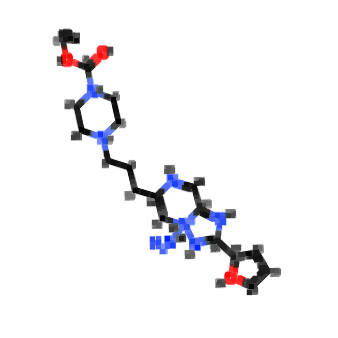 CC(C)(C)OC(=O)N1CCN(CCCC2=C[N+]3(N)N=C(c4ccco4)N=C3C=N2)CC1